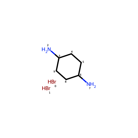 Br.Br.NC1CCC(N)CC1